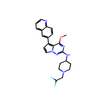 COc1nc(NC2CCN(CC(F)F)CC2)nn2ccc(-c3ccc4ncccc4c3)c12